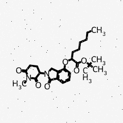 CCCCCCC(Oc1cccc2c1CN(C1CCC(=O)N(C)C1=O)C2=O)C(=O)OC(C)(C)C